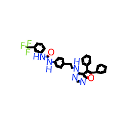 O=C(Nc1ccc(CCNc2ncnc3oc(-c4ccccc4)c(-c4ccccc4)c23)cc1)Nc1cccc(C(F)(F)F)c1